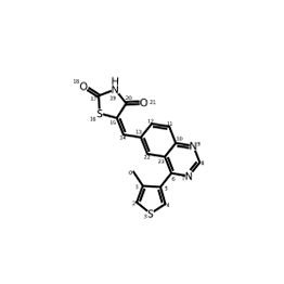 Cc1cscc1-c1ncnc2ccc(/C=C3/SC(=O)NC3=O)cc12